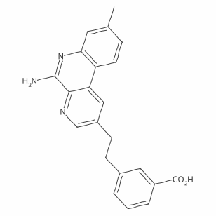 Cc1ccc2c(c1)nc(N)c1ncc(CCc3cccc(C(=O)O)c3)cc12